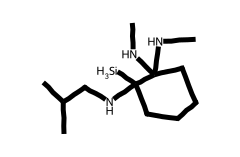 CNC1(NC)CCCCC1([SiH3])NCC(C)C